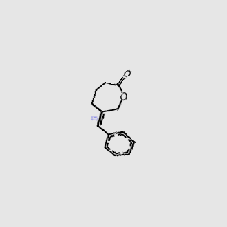 O=C1CCC/C(=C/c2ccccc2)CO1